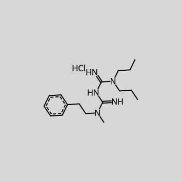 CCCN(CCC)C(=N)NC(=N)N(C)CCc1ccccc1.Cl